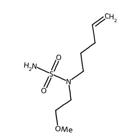 C=CCCCN(CCOC)S(N)(=O)=O